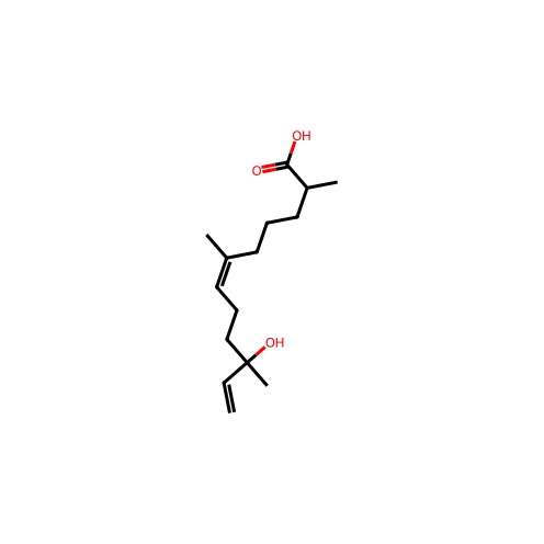 C=CC(C)(O)CCC=C(C)CCCC(C)C(=O)O